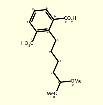 COC(CCCCc1c(C(=O)O)cccc1C(=O)O)OC